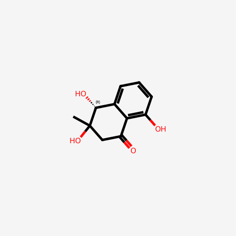 CC1(O)CC(=O)c2c(O)cccc2[C@H]1O